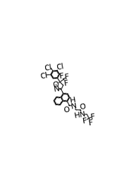 O=C(CNC(=O)c1ccc(C2=NOC(c3cc(Cl)c(Cl)c(Cl)c3)(C(F)(F)F)C2)c2ccccc12)NCC(F)(F)F